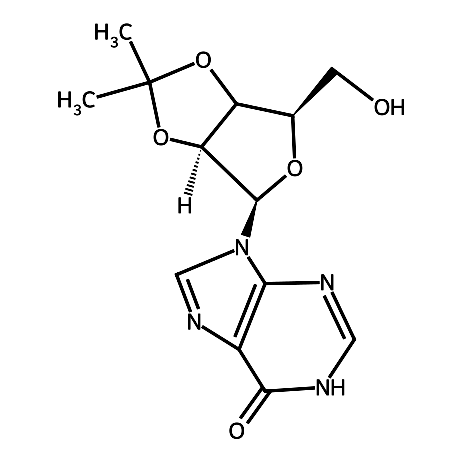 CC1(C)OC2[C@@H](CO)O[C@@H](n3cnc4c(=O)[nH]cnc43)[C@H]2O1